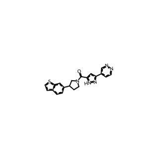 O=C(c1cc(-c2ccnnc2)n[nH]1)N1CCC(c2ccc3ccsc3c2)C1